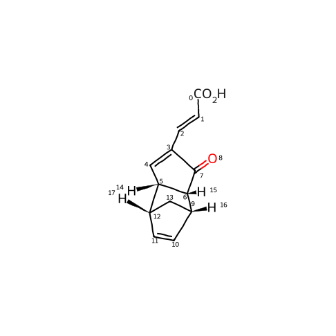 O=C(O)/C=C/C1=C[C@@H]2[C@H](C1=O)[C@@H]1C=C[C@H]2C1